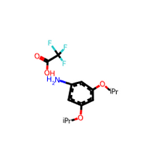 CC(C)Oc1cc(N)cc(OC(C)C)c1.O=C(O)C(F)(F)F